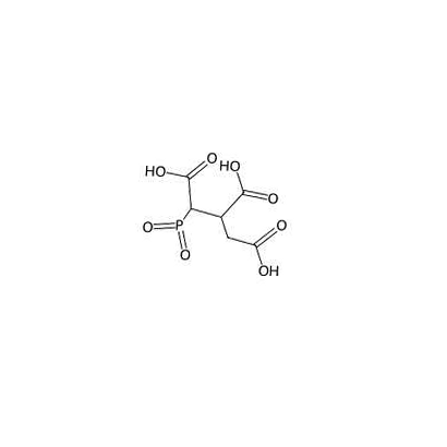 O=C(O)CC(C(=O)O)C(C(=O)O)P(=O)=O